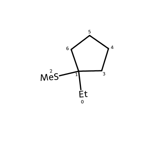 CCC1(SC)CCCC1